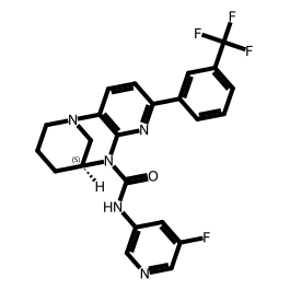 O=C(Nc1cncc(F)c1)N1c2nc(-c3cccc(C(F)(F)F)c3)ccc2N2CCC[C@H]1C2